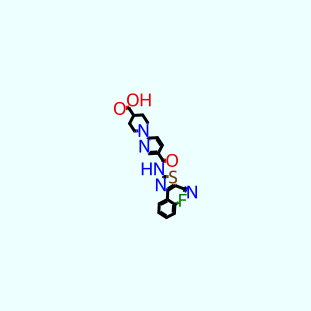 N#Cc1sc(NC(=O)c2ccc(N3CCC(C(=O)O)CC3)nc2)nc1-c1ccccc1F